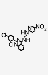 O=[N+]([O-])c1ccc(NCCNc2nc(-c3ccc(Cl)cc3Cl)nc3ccccc23)nc1